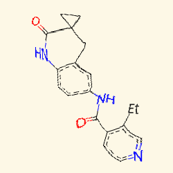 CCc1cnccc1C(=O)Nc1ccc2c(c1)CC1(CC1)C(=O)N2